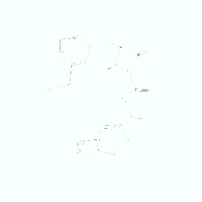 CCCC(NC(=O)N1C(=O)C(CC)(CC)[C@@H]1Oc1ccccc1CO)c1ccc2occc2c1